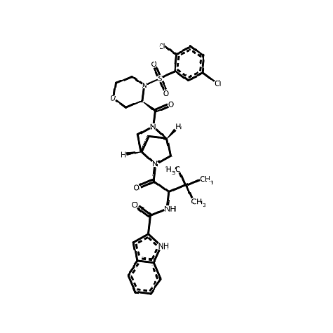 CC(C)(C)C(NC(=O)c1cc2ccccc2[nH]1)C(=O)N1C[C@@H]2C[C@H]1CN2C(=O)[C@H]1COCCN1S(=O)(=O)c1cc(Cl)ccc1Cl